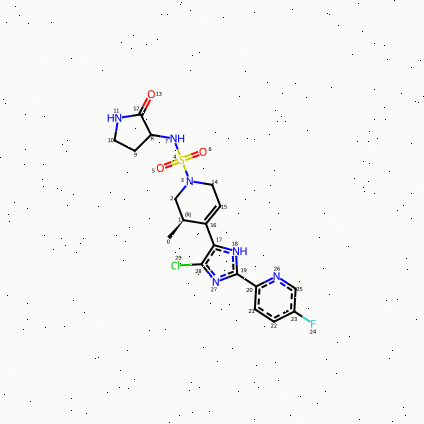 C[C@H]1CN(S(=O)(=O)NC2CCNC2=O)CC=C1c1[nH]c(-c2ccc(F)cn2)nc1Cl